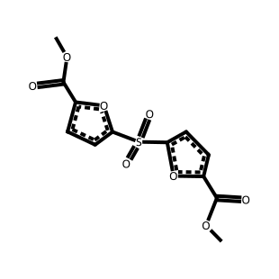 COC(=O)c1ccc(S(=O)(=O)c2ccc(C(=O)OC)o2)o1